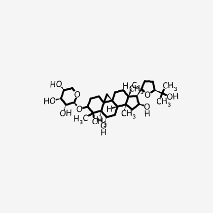 CC(C)(O)[C@@H]1CC[C@](C)([C@H]2[C@@H](O)C[C@@]3(C)[C@@H]4C[C@H](O)[C@H]5C(C)(C)C(O[C@@H]6OC[C@@H](O)[C@H](O)[C@H]6O)CCC56C[C@@]46CC[C@]23C)O1